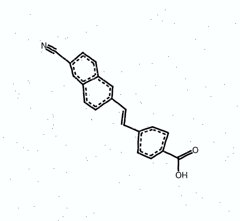 N#Cc1ccc2cc(C=Cc3ccc(C(=O)O)cc3)ccc2c1